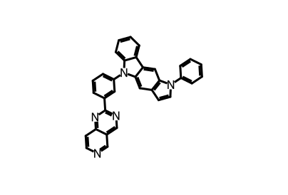 c1ccc(-n2ccc3cc4c(cc32)c2ccccc2n4-c2cccc(-c3ncc4cnccc4n3)c2)cc1